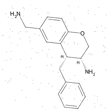 NCc1ccc2c(c1)[C@@H](Cc1ccccc1)[C@@H](N)CO2